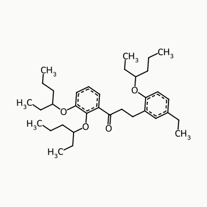 CCCC(CC)Oc1ccc(CC)cc1CCC(=O)c1cccc(OC(CC)CCC)c1OC(CC)CCC